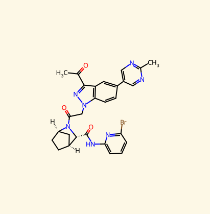 CC(=O)c1nn(CC(=O)N2[C@@H]3CC[C@@H](C3)[C@H]2C(=O)Nc2cccc(Br)n2)c2ccc(-c3cnc(C)nc3)cc12